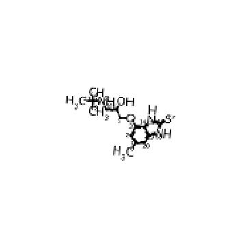 Cc1cc(OCC(O)CNC(C)(C)C)c2[nH]c(=S)[nH]c2c1